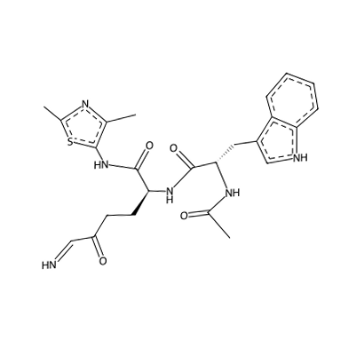 CC(=O)N[C@@H](Cc1c[nH]c2ccccc12)C(=O)N[C@@H](CCC(=O)C=N)C(=O)Nc1sc(C)nc1C